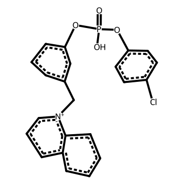 O=P(O)(Oc1ccc(Cl)cc1)Oc1cccc(C[n+]2cccc3ccccc32)c1